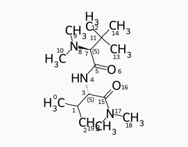 CC(C)[C@H](NC(=O)[C@@H](N(C)C)C(C)(C)C)C(=O)N(C)C